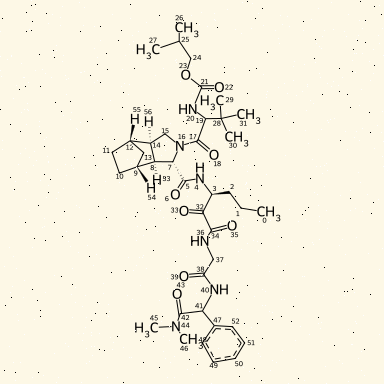 CCC[C@H](NC(=O)[C@@H]1[C@H]2[C@@H]3CC[C@@H](C3)[C@H]2CN1C(=O)C(NC(=O)OCC(C)C)C(C)(C)C)C(=O)C(=O)NCC(=O)NC(C(=O)N(C)C)c1ccccc1